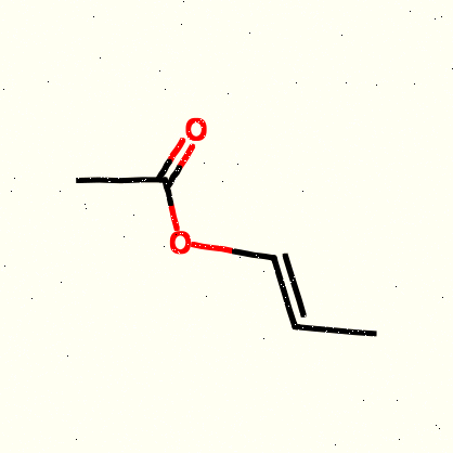 CC=COC(C)=O